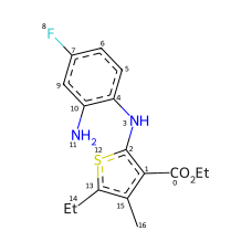 CCOC(=O)c1c(Nc2ccc(F)cc2N)sc(CC)c1C